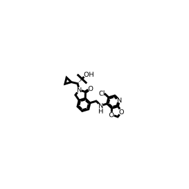 CC(C)(O)[C@@H](C1CC1)N1Cc2cccc(CNc3c(Cl)cnc4c3OCO4)c2C1=O